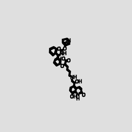 O=C(NC(c1ccccc1)c1cccc(OC(CCCCNCC(O)c2ccc(O)c3[nH]c(=O)ccc23)C(=O)O)c1)OC1CN2CCC1CC2